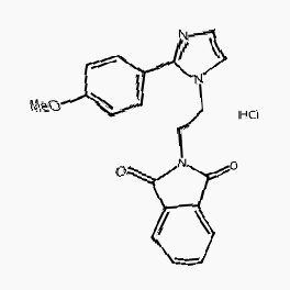 COc1ccc(-c2nccn2CCN2C(=O)c3ccccc3C2=O)cc1.Cl